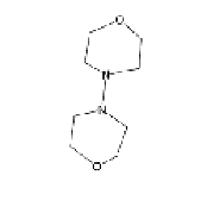 C1CN(N2CCOCC2)CCO1